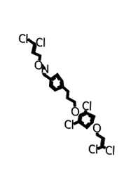 ClC(Cl)=CCO/N=C/c1ccc(CCCOc2c(Cl)cc(OCC=C(Cl)Cl)cc2Cl)cc1